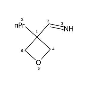 CCCC1(C=N)COC1